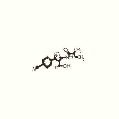 C=CC(=C)C(=O)Nc1onc(-c2ccc(C#N)cc2)c1C(=O)O